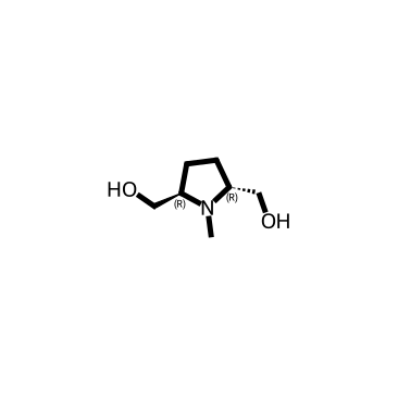 CN1[C@@H](CO)CC[C@@H]1CO